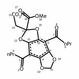 CCCC(=O)c1c2c(c(C(=O)CCC)c3c1OC(CC(=O)O)(C(=O)OC)O3)OCO2